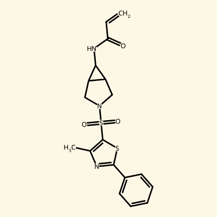 C=CC(=O)NC1C2CN(S(=O)(=O)c3sc(-c4ccccc4)nc3C)CC21